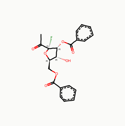 CC(=O)[C@]1(F)O[C@H](COC(=O)c2ccccc2)[C@@H](O)[C@H]1OC(=O)c1ccccc1